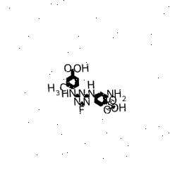 Cc1cc(C(=O)O)ccc1Nc1nc(F)nc(Nc2ccc(S(=O)(=O)O)c(N)c2)n1